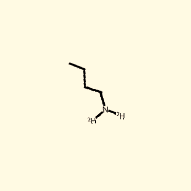 [2H]N([2H])CCCC